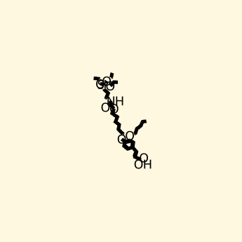 CCCCCOc1cc(C=CC(=O)O)ccc1OCCCCCCOC(=O)NCCC[Si](OCC)(OCC)OCC